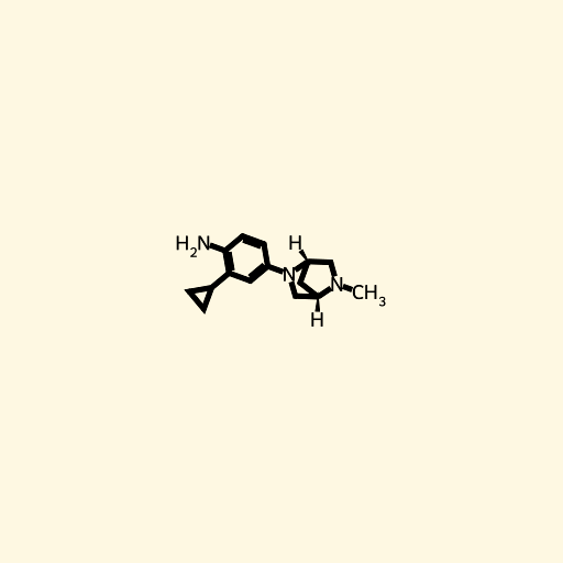 CN1C[C@@H]2C[C@H]1CN2c1ccc(N)c(C2CC2)c1